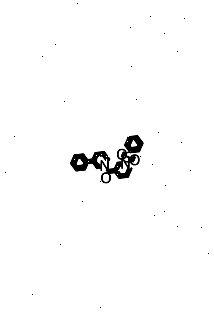 O=C(C1CCCN(S(=O)(=O)c2ccccc2)C1)N1CCCC(c2ccccc2)C1